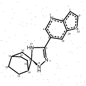 c1cc2ncc(C3=NN[C@@]4(CC5CCC4CC5)N3)cc2s1